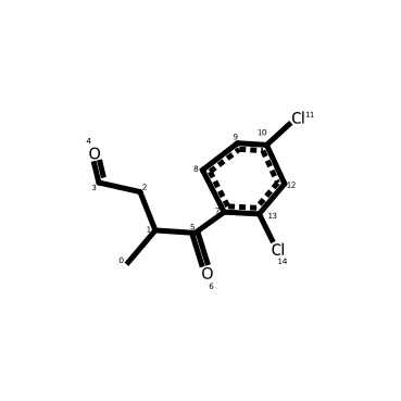 CC(CC=O)C(=O)c1ccc(Cl)cc1Cl